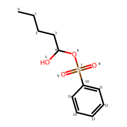 CCCCC(O)OS(=O)(=O)c1ccccc1